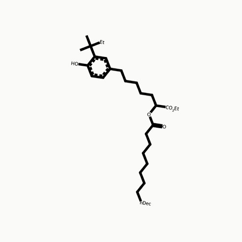 CCCCCCCCCCCCCCCCCC(=O)OC(CCCCCc1ccc(O)c(C(C)(C)CC)c1)C(=O)OCC